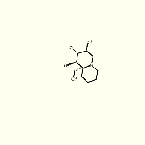 OC[C@@]12CCCCN1C[C@H](O)[C@@H](O)[C@@H]2O